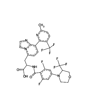 Cc1ccc(C(F)(F)F)c(-c2ccc(CC(NC(=O)c3c(F)cc(N4CCOCC4C(F)(F)F)cc3F)C(=O)O)n3ccnc23)n1